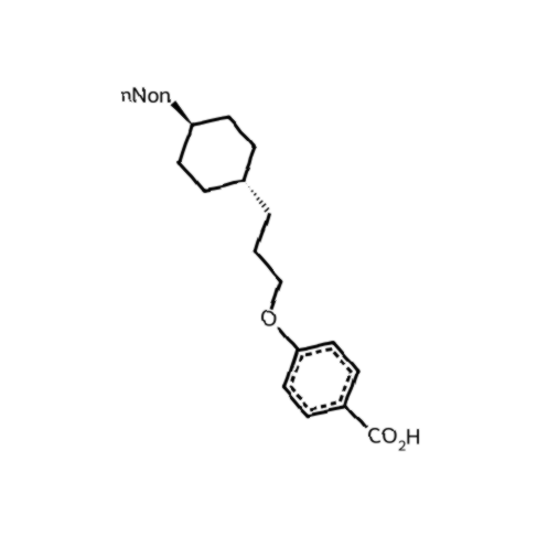 CCCCCCCCC[C@H]1CC[C@H](CCCOc2ccc(C(=O)O)cc2)CC1